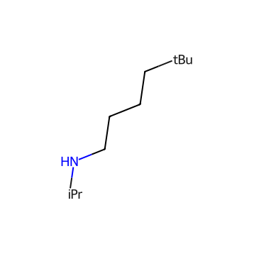 CC(C)NCCCCC(C)(C)C